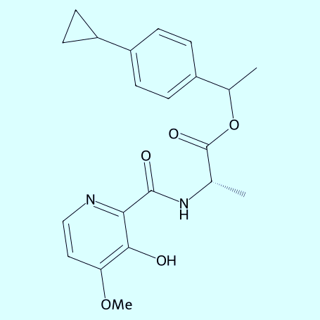 COc1ccnc(C(=O)N[C@@H](C)C(=O)OC(C)c2ccc(C3CC3)cc2)c1O